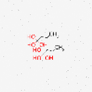 CCCC(O)(O)O.CCCC(O)(O)O